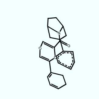 O=C(C1=COC=C(C2=CC=CCC2)O1)N1C2CCC1CC(c1ccccc1)C2